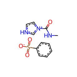 CNC(=O)[n+]1cc[nH]c1.O=S(=O)([O-])c1ccccc1